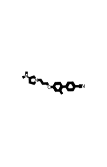 Cc1cc(OCCCN2CC[C@@H](N(C)C)C2)ccc1-c1ccc(C#N)cc1